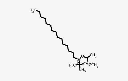 CCCCCCCCCCCCCCC[SiH](OC(C)OC)C(C)(C)C